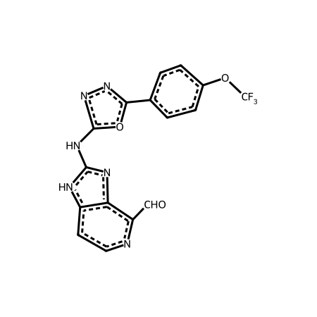 O=Cc1nccc2[nH]c(Nc3nnc(-c4ccc(OC(F)(F)F)cc4)o3)nc12